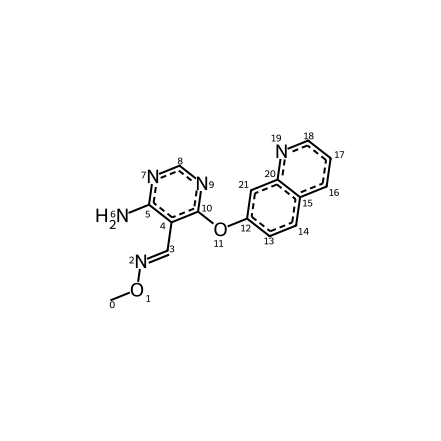 CON=Cc1c(N)ncnc1Oc1ccc2cccnc2c1